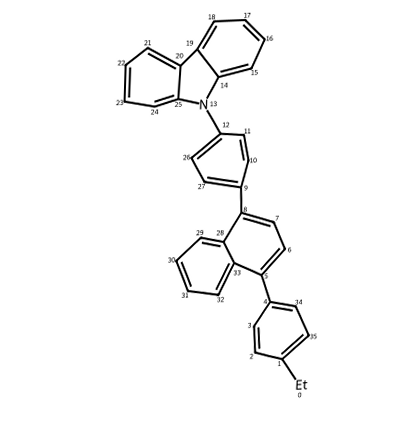 CCc1ccc(-c2ccc(-c3ccc(-n4c5ccccc5c5ccccc54)cc3)c3ccccc23)cc1